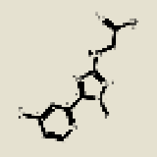 Cn1nc(PCC(=O)O)nc1-c1cc(Cl)ccn1